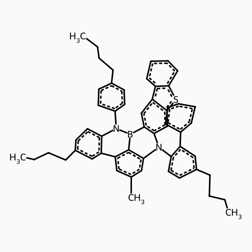 CCCCc1ccc(N2B3c4cc5c(cc4N(c4ccc(CCCC)cc4-c4ccccc4)c4cc(C)cc(c43)-c3cc(CCCC)ccc32)sc2ccccc25)cc1